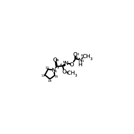 CNC(=O)ON=C(OC)C(=O)N1CCCC1